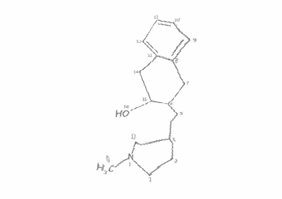 CN1CCC(CC2Cc3ccccc3CC2O)C1